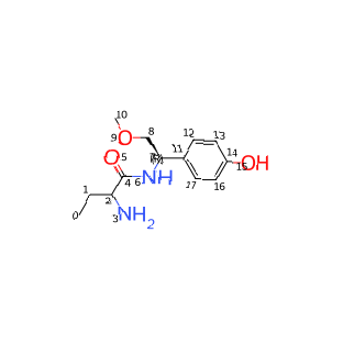 CCC(N)C(=O)N[C@@H](COC)c1ccc(O)cc1